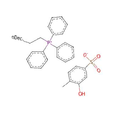 CCCCCCCCCCCC[P+](c1ccccc1)(c1ccccc1)c1ccccc1.Cc1ccc(S(=O)(=O)[O-])cc1O